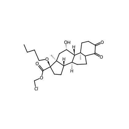 CCCCO[C@]1(C(=O)OCCl)CC[C@H]2[C@@H]3CCC4C(=O)C(=O)CC[C@]4(C)[C@H]3[C@@H](O)C[C@@]21C